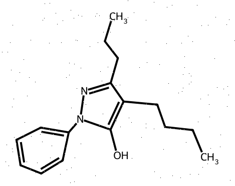 CCCCc1c(CCC)nn(-c2ccccc2)c1O